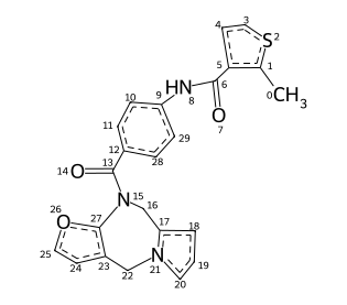 Cc1sccc1C(=O)Nc1ccc(C(=O)N2Cc3cccn3Cc3ccoc32)cc1